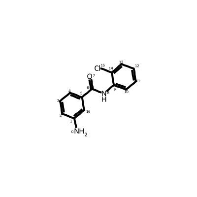 Nc1cccc(C(=O)Nc2ccccc2Cl)c1